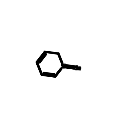 [Se]=[Si]1C=CC=CC1